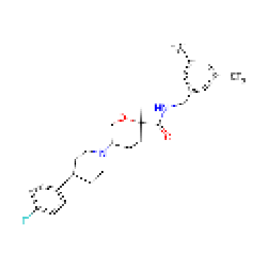 CC1(C(=O)NCc2cc(C(F)(F)F)cc(C(F)(F)F)c2)CCC(N2CCC(c3ccc(F)cc3)CC2)CO1